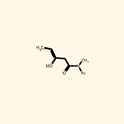 C/C=C(\O)CC(=O)N(C)C(C)=O